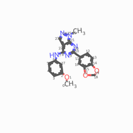 COc1cccc(Nc2nc(-c3ccc4c(c3)OCO4)nc3c2cnn3C)c1